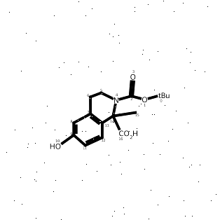 CC(C)(C)OC(=O)N1CCc2cc(O)ccc2C1(C)C(=O)O